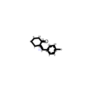 Cc1ccc(/C=C2/CCCCC2=O)cc1